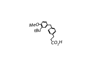 COc1ccc(Cc2ccc(CCC(=O)O)cc2)cc1C(C)(C)C